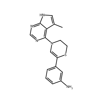 Cc1c[nH]c2ncnc(N3C=C(c4cccc(N)c4)SCC3)c12